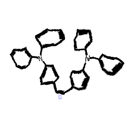 C(=C/c1ccc(N(c2ccccc2)c2ccccc2)cc1)/c1ccc(N(c2ccccc2)c2ccccc2)cc1